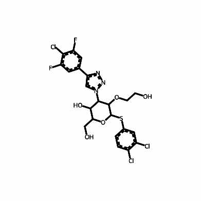 OCCOC1C(Sc2ccc(Cl)c(Cl)c2)OC(CO)C(O)C1n1cc(-c2cc(F)c(Cl)c(F)c2)nn1